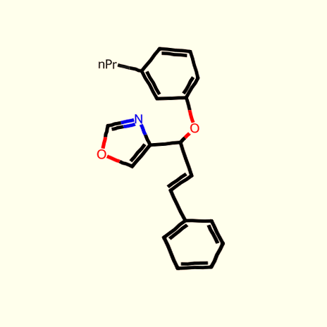 CCCc1cccc(OC(C=Cc2ccccc2)c2cocn2)c1